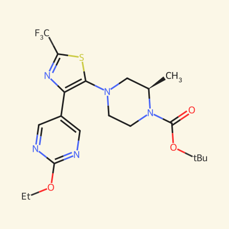 CCOc1ncc(-c2nc(C(F)(F)F)sc2N2CCN(C(=O)OC(C)(C)C)[C@H](C)C2)cn1